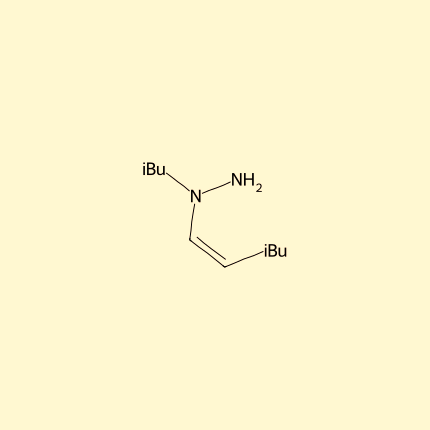 CCC(C)/C=C\N(N)C(C)CC